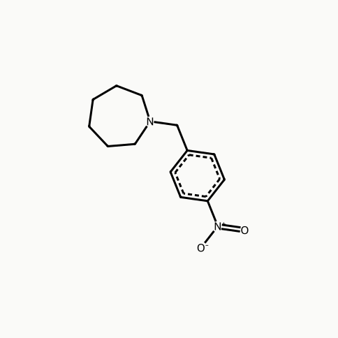 O=[N+]([O-])c1ccc(CN2CCCCCC2)cc1